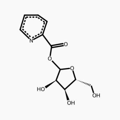 O=C(OC1O[C@H](CO)[C@@H](O)[C@H]1O)c1ccccn1